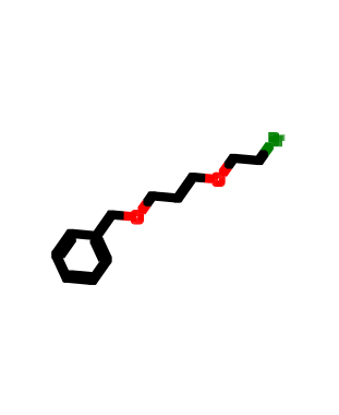 BrCCOCCCOCc1ccccc1